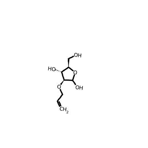 C=CCO[C@@H]1C(O)O[C@H](CO)[C@H]1O